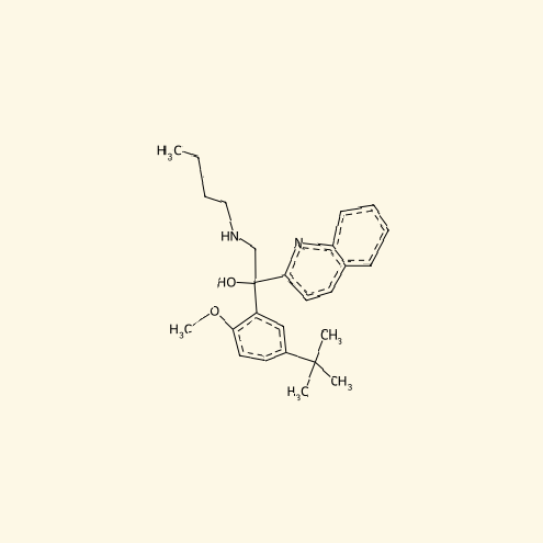 CCCCNCC(O)(c1ccc2ccccc2n1)c1cc(C(C)(C)C)ccc1OC